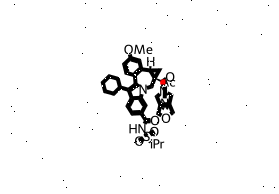 COc1ccc2c(c1)[C@@H]1C[C@]1(C(=O)N1CC34COCC3(CN(C(C)=O)C4)C1)Cn1c-2c(C2CCCCC2)c2ccc(C(=O)NS(=O)(=O)C(C)C)cc21